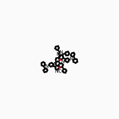 N#Cc1ccccc1-c1ccc(-c2cc(-c3nc(-c4ccccc4)nc(-c4ccccc4)n3)ccc2-n2c3ccccc3c3cc(-n4c5ccccc5c5ccccc54)ccc32)c(-n2c3ccccc3c3cc(-n4c5ccccc5c5ccccc54)ccc32)c1